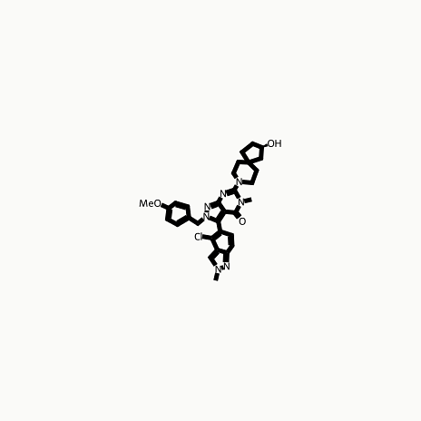 COc1ccc(Cn2nc3nc(N4CCC5(CC[C@@H](O)C5)CC4)n(C)c(=O)c3c2-c2ccc3nn(C)cc3c2Cl)cc1